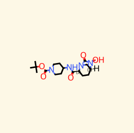 CC(C)(C)OC(=O)N1CCC(NC(=O)[C@@H]2CC[C@H]3CN2C(=O)N3O)CC1